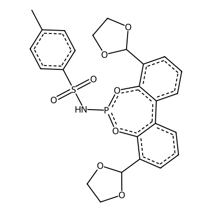 Cc1ccc(S(=O)(=O)Np2oc3c(C4OCCO4)cccc3c3cccc(C4OCCO4)c3o2)cc1